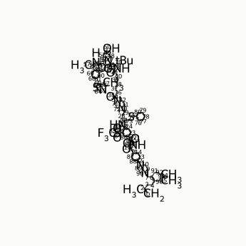 C=C(C)CCC1=C(CN2CCN(c3ccc(C(=O)NS(=O)(=O)c4ccc(N[C@H](CCN5CCN(C(=O)CCCCCC(=O)NC(C(=O)N6C[C@H](O)C[C@H]6C(=O)N[C@@H](C)c6ccc(-c7scnc7C)cc6)C(C)(C)C)CC5)CSc5ccccc5)c(S(=O)(=O)C(F)(F)F)c4)cc3)CC2)CCC(C)(C)C1